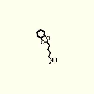 CNCCCCC1Oc2ccccc2O1